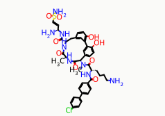 C[C@@H]1NC(=O)[C@@H](N(C)C(=O)[C@H](CCCCN)NC(=O)c2ccc(-c3ccc(Cl)cc3)cc2)c2ccc(O)c(c2)-c2cc(ccc2O)C[C@@H](C(=O)N[C@@H](N)/C=C/S(N)(=O)=O)NC1=O